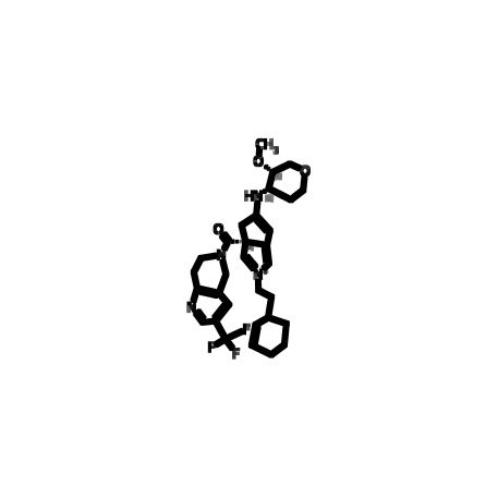 CO[C@@H]1COCC[C@@H]1NC1=CC2=C[N+](CCC3C=CCCC3)=C[C@@]2(C(=O)N2CCc3ncc(C(F)(F)F)cc3C2)C1